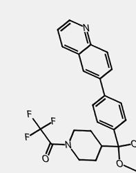 O=C(N1CCC(C2(c3ccc(-c4ccc5ncccc5c4)cc3)OCCO2)CC1)C(F)(F)F